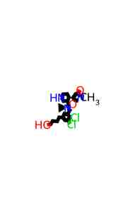 Cn1ccc([C@H]2CCNCC2C(=O)N(Cc2cc(CCCCO)cc(Cl)c2Cl)C2CC2)cc1=O